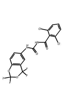 O=C(NC(=O)c1c(Cl)cccc1Cl)Nc1ccc2c(c1)C(F)(F)OC(F)(F)O2